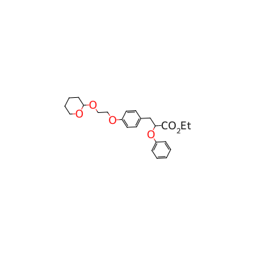 CCOC(=O)C(Cc1ccc(OCCOC2CCCCO2)cc1)Oc1ccccc1